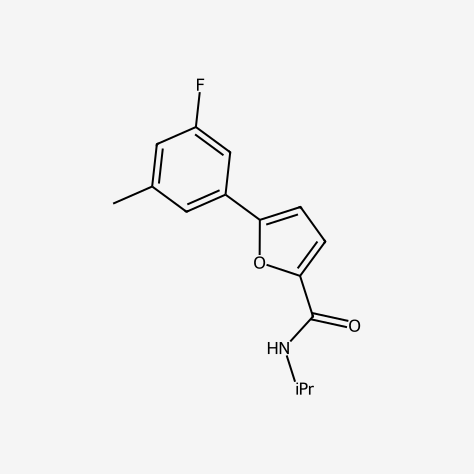 Cc1cc(F)cc(-c2ccc(C(=O)NC(C)C)o2)c1